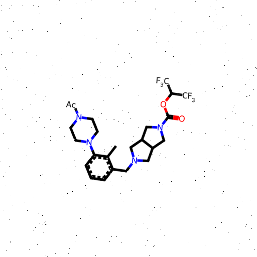 CC(=O)N1CCN(c2cccc(CN3CC4CN(C(=O)OC(C(F)(F)F)C(F)(F)F)CC4C3)c2C)CC1